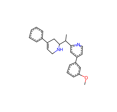 COc1cccc(-c2ccnc(C(C)C3CC(c4ccccc4)=CCN3)c2)c1